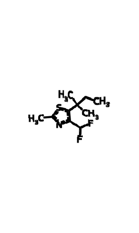 CCC(C)(C)c1sc(C)nc1C(F)F